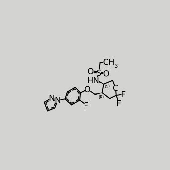 CCS(=O)(=O)N[C@H]1CCC(F)(F)C[C@H]1COc1ccc(-n2cccn2)cc1F